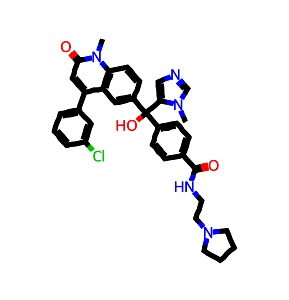 Cn1cncc1C(O)(c1ccc(C(=O)NCCN2CCCC2)cc1)c1ccc2c(c1)c(-c1cccc(Cl)c1)cc(=O)n2C